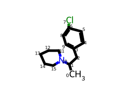 CC(Cc1ccc(Cl)cc1)N1CCCCC1